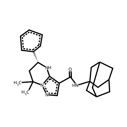 CC1(C)C[C@H](c2ccccc2)Nc2c(C(=O)NC34CC5CC(CC(C5)C3)C4)cnn21